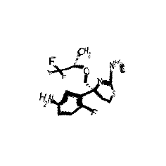 C[C@H](OC[C@@]1(c2cc(N)ccc2F)CCSC(N)=N1)C(F)(F)F